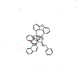 N/C(=N\C(=N/Cc1ccccc1)c1ccc2ccccc2c1)c1cccc2oc3cccc(-c4ccc5c(c4)oc4c6ccccc6ccc54)c3c12